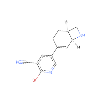 N#Cc1cc(C2=C[C@@H]3NC[C@@H]3CC2)cnc1Br